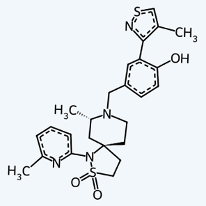 Cc1cccc(N2[C@@]3(CCN(Cc4ccc(O)c(-c5nscc5C)c4)[C@@H](C)C3)CCS2(=O)=O)n1